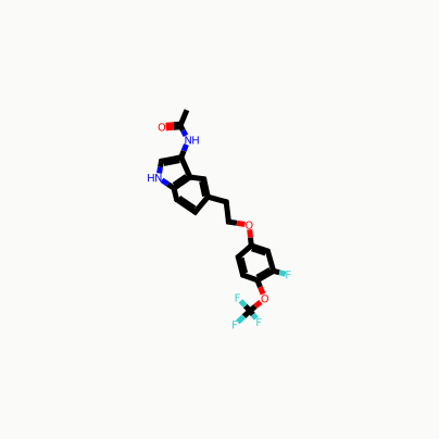 CC(=O)Nc1c[nH]c2ccc(CCOc3ccc(OC(F)(F)F)c(F)c3)cc12